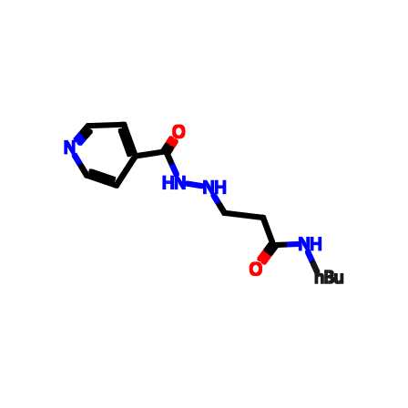 CCCCNC(=O)CCNNC(=O)c1ccncc1